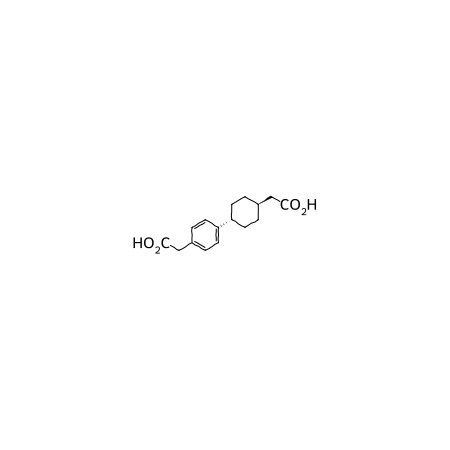 O=C(O)Cc1ccc([C@H]2CC[C@H](CC(=O)O)CC2)cc1